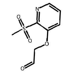 CS(=O)(=O)c1ncccc1OCC=O